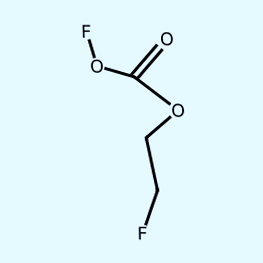 O=C(OF)OCCF